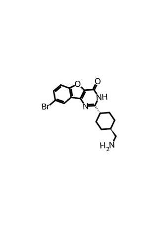 NC[C@H]1CC[C@H](c2nc3c(oc4ccc(Br)cc43)c(=O)[nH]2)CC1